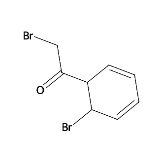 O=C(CBr)C1C=CC=CC1Br